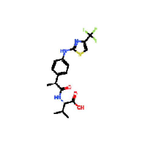 CC(C)[C@H](NC(=O)[C@@H](C)c1ccc(Nc2nc(C(F)(F)F)cs2)cc1)C(=O)O